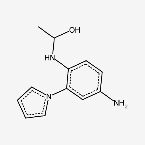 CC(O)Nc1ccc(N)cc1-n1cccc1